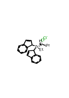 C[CH2][Zr+2](=[SiH]C(C)C)([CH]1C=Cc2ccccc21)[CH]1C=Cc2ccccc21.[Cl-].[Cl-]